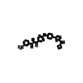 O=C(Nc1cnc(Oc2ccc(-c3cnc(NC4CCC4)s3)cc2)nc1)Nc1cccc(C(F)(F)F)c1